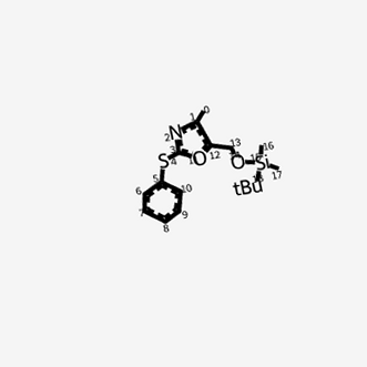 Cc1nc(Sc2ccccc2)oc1CO[Si](C)(C)C(C)(C)C